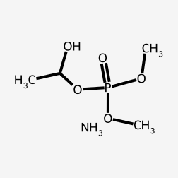 COP(=O)(OC)OC(C)O.N